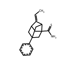 C/C=C1/C2CC3(c4ccccc4)CC1C(C(N)=S)(C2)C3